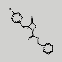 O=C1CN(C(=O)OCc2ccccc2)[C@H]1Cc1ccc(Br)cc1